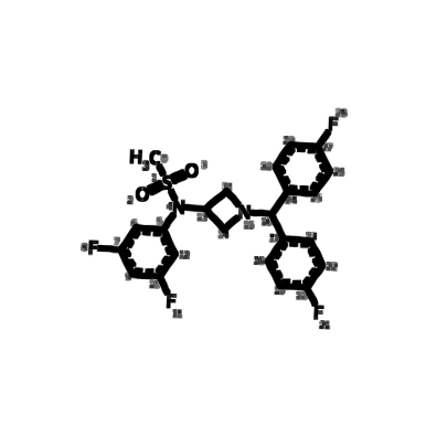 CS(=O)(=O)N(c1cc(F)cc(F)c1)C1CN(C(c2ccc(F)cc2)c2ccc(F)cc2)C1